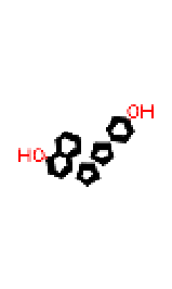 C1=CCC=C1.C1=CCC=C1.Oc1cccc2ccccc12.Oc1ccccc1